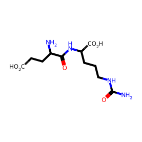 NC(=O)NCCCC(NC(=O)C(N)CCC(=O)O)C(=O)O